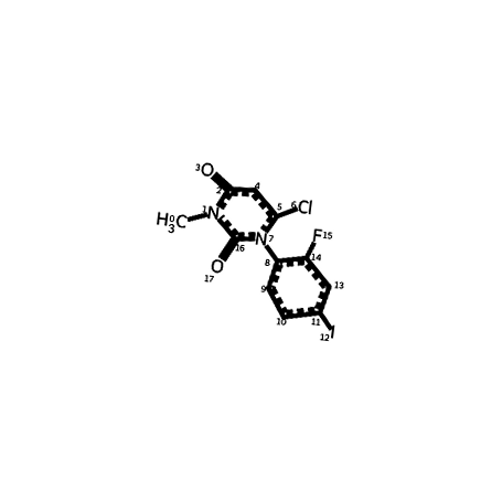 Cn1c(=O)cc(Cl)n(-c2ccc(I)cc2F)c1=O